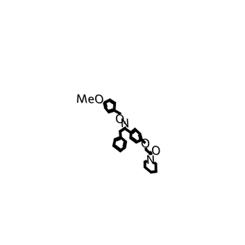 COc1ccc(CO/N=C(\Cc2ccccc2)c2ccc(OCC(=O)N3CCCCC3)cc2)cc1